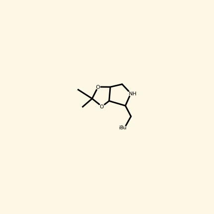 CCC(C)CC1NCC2OC(C)(C)OC12